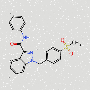 CS(=O)(=O)c1ccc(Cn2nc(C(=O)Nc3ccccc3)c3ccccc32)cc1